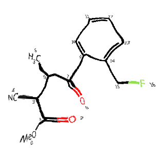 COC(=O)C(C#N)C(C)C(=O)c1ccccc1CF